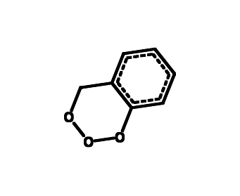 c1ccc2c(c1)COOO2